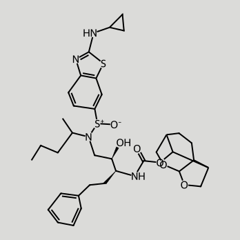 CCCC(C)N(C[C@@H](O)[C@H](CCc1ccccc1)NC(=O)OC1C2CCC3C(OC2)OCC31)[S+]([O-])c1ccc2nc(NC3CC3)sc2c1